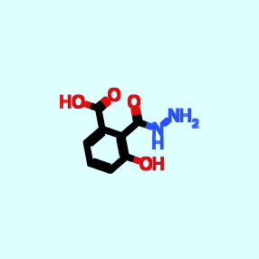 NNC(=O)c1c(O)cccc1C(=O)O